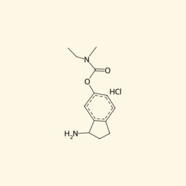 CCN(C)C(=O)Oc1ccc2c(c1)C(N)CC2.Cl